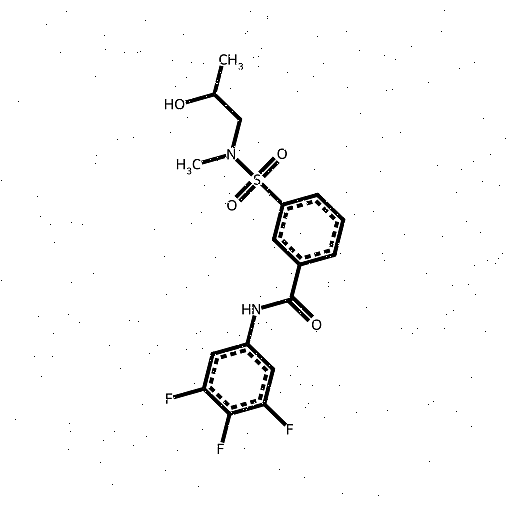 CC(O)CN(C)S(=O)(=O)c1cccc(C(=O)Nc2cc(F)c(F)c(F)c2)c1